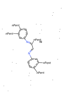 CCCCCC(C=Nc1ccc(CCCCC)c(CCCCC)c1)=Nc1ccc(CCCCC)c(CCCCC)c1.[Ni]